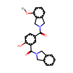 CCOc1cccc2c1CN(C(=O)c1ccc(O)c(C(=O)N3Cc4ccccc4C3)c1)C2